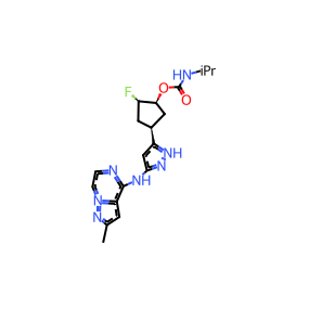 Cc1cc2c(Nc3cc([C@H]4C[C@@H](F)[C@@H](OC(=O)NC(C)C)C4)[nH]n3)nccn2n1